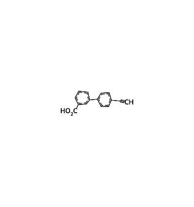 C#Cc1ccc(-c2cccc(C(=O)O)c2)cc1